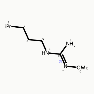 CO/N=C(\N)NCCCC(C)C